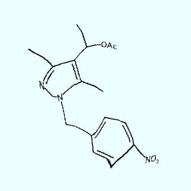 CC(=O)OC(C)c1c(C)nn(Cc2ccc([N+](=O)[O-])cc2)c1C